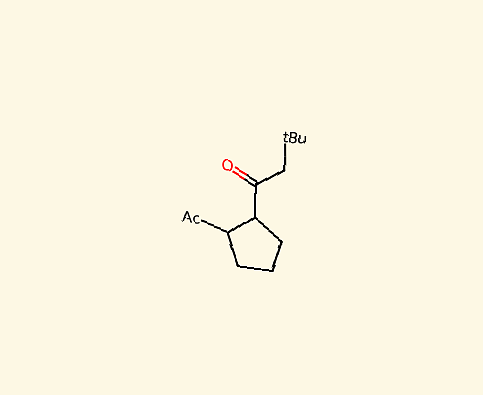 CC(=O)C1CCCC1C(=O)CC(C)(C)C